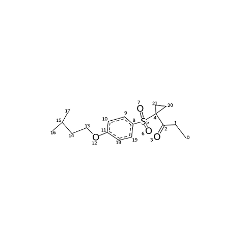 CCC(=O)C1(S(=O)(=O)c2ccc(OCCC(C)C)cc2)CC1